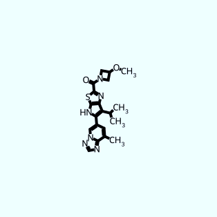 COC1CN(C(=O)c2nc3c(C(C)C)c(-c4cc(C)c5ncnn5c4)[nH]c3s2)C1